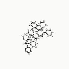 O=P(c1ccccc1)(c1ccccc1)c1cccc(-c2cc3nc(-c4ccccc4)c4c5ccccc5c5ccccc5c4c3c3ncccc23)c1